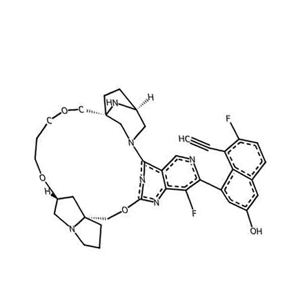 C#Cc1c(F)ccc2cc(O)cc(-c3ncc4c5nc(nc4c3F)OC[C@]34CCCN3C[C@@H](C4)OCCCOC[C@@]34CC[C@@H](CN5C3)N4)c12